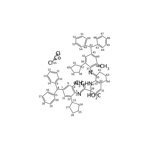 CC(=Nc1c(C)cc(C(c2ccccc2)c2ccccc2)cc1C1CCCC1)C1(C(=O)O)C=CC2=C(N1)C(=Nc1c(C)cc(C(c3ccccc3)c3ccccc3)cc1C1CCCC1)CCC2.[Cl][Co][Cl]